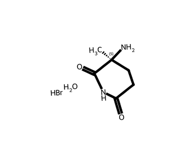 Br.C[C@]1(N)CCC(=O)NC1=O.O